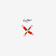 C.O=S(=O)([O-])[O-].[Ba+2]